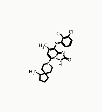 Cc1cc(N2CCC3(CCCC3N)CC2)n2[nH]c(=O)nc2c1Sc1cccc(Cl)c1Cl